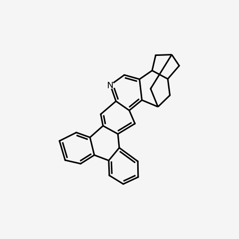 c1ccc2c(c1)c1ccccc1c1cc3c4c(cnc3cc21)C1CC2CC4CC1C2